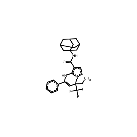 CCC1(C(F)(F)F)C=C(c2ccccc2)Nc2c(C(=O)NC34CC5CC(CC(C5)C3)C4)cnn21